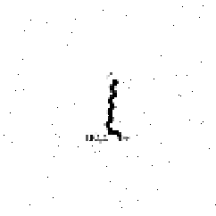 CC(C)CCCCCCCCC(CC(C)C)C(=O)O